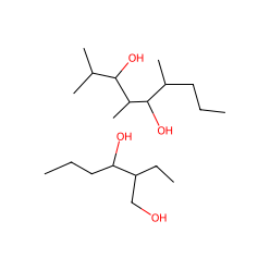 CCCC(C)C(O)C(C)C(O)C(C)C.CCCC(O)C(CC)CO